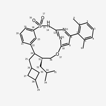 Cc1cccc(C)c1-c1cc2nc(n1)NS(=O)(=O)c1cccc(c1)C(CC1CC(C)C1)[C@H](CC(C)C)CO2